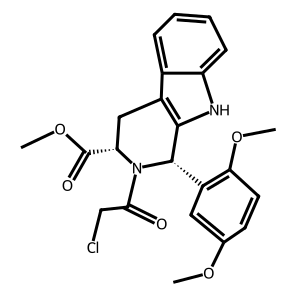 COC(=O)[C@@H]1Cc2c([nH]c3ccccc23)[C@H](c2cc(OC)ccc2OC)N1C(=O)CCl